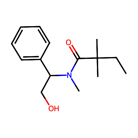 CCC(C)(C)C(=O)N(C)C(CO)c1ccccc1